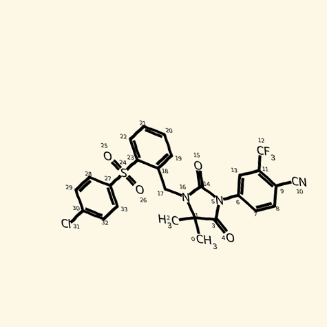 CC1(C)C(=O)N(c2ccc(C#N)c(C(F)(F)F)c2)C(=O)N1Cc1ccccc1S(=O)(=O)c1ccc(Cl)cc1